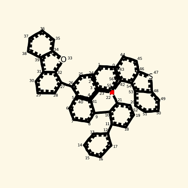 c1ccc(-c2ccccc2-c2c(-c3ccccc3)cccc2N(c2ccc(-c3cccc4c3oc3ccccc34)cc2)c2cccc3sc4ccccc4c23)cc1